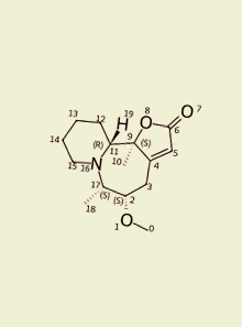 CO[C@H]1CC2=CC(=O)O[C@]2(C)[C@H]2CCCCN2[C@H]1C